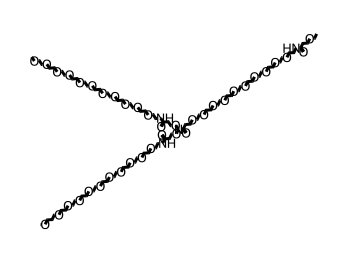 CCOCCC(=O)NCCOCCOCCOCCOCCOCCOCCOCCOCCOCCOCCC(=O)N(OCCC(=O)NCCOCCOCCOCCOCCOCCOCCOCCOCCOCCOCCCOC)OCCC(=O)NCCOCCOCCOCCOCCOCCOCCOCCOCCOCCOCCOC